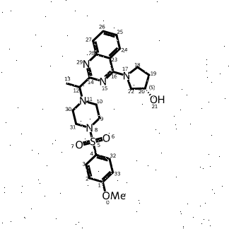 COc1ccc(S(=O)(=O)N2CCN(C(C)c3nc(N4CC[C@H](O)C4)c4ccccc4n3)CC2)cc1